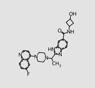 CC(c1nc2ccc(C(=O)NC3CC(O)C3)cc2[nH]1)N1CCN(c2ccnc3ccc(F)cc23)CC1